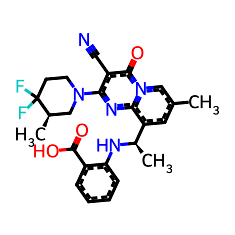 Cc1cc([C@@H](C)Nc2ccccc2C(=O)O)c2nc(N3CCC(F)(F)[C@H](C)C3)c(C#N)c(=O)n2c1